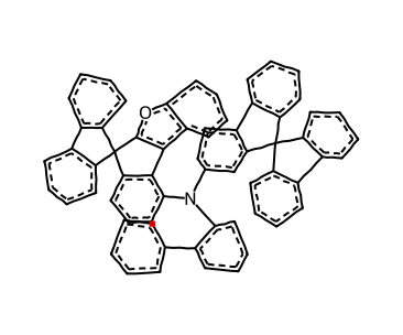 c1ccc(-c2ccccc2N(c2ccc3c(c2)C2(c4ccccc4-c4ccccc42)c2ccccc2-3)c2cccc3c2-c2c(oc4ccccc24)C32c3ccccc3-c3ccccc32)cc1